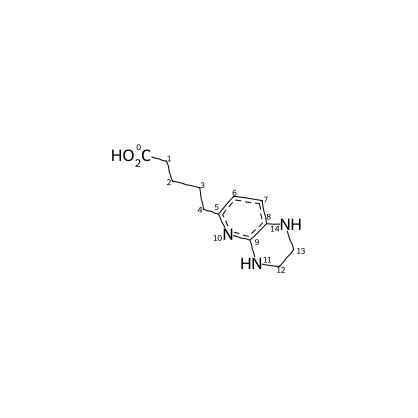 O=C(O)CCCCc1ccc2c(n1)NCCN2